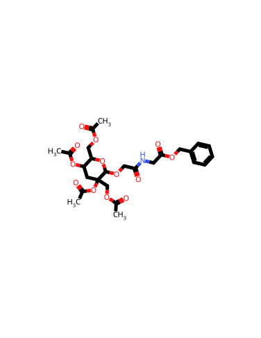 CC(=O)OCC1OC(OCC(=O)NCC(=O)OCc2ccccc2)C(COC(C)=O)(OC(C)=O)CC1OC(C)=O